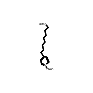 CCCCCCCCCCCCCCCCCCc1cc[n+](CCCCCCCCC)cc1